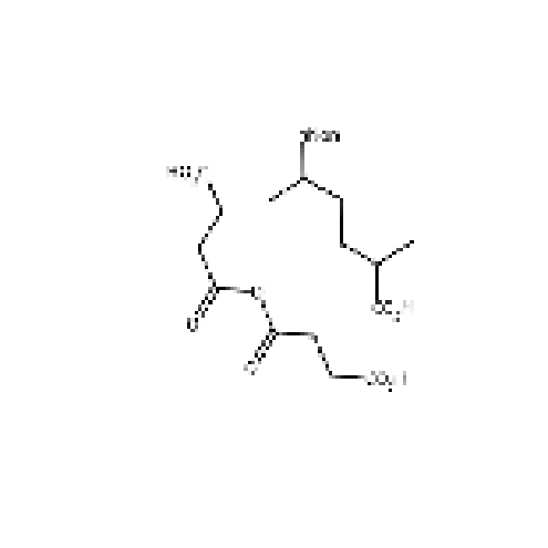 CCCCCCCCCC(C)CCC(C)C(=O)O.O=C(O)CCC(=O)OC(=O)CCC(=O)O